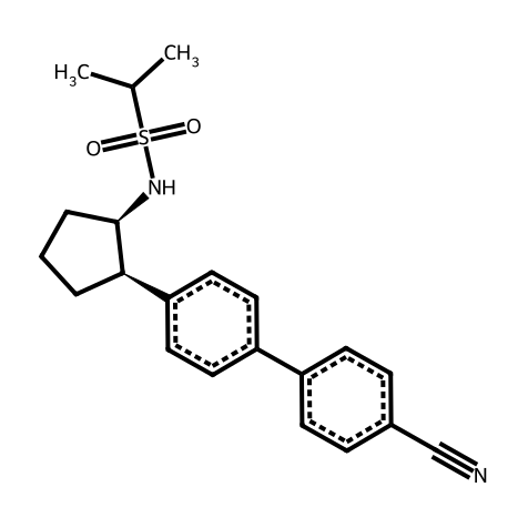 CC(C)S(=O)(=O)N[C@@H]1CCC[C@@H]1c1ccc(-c2ccc(C#N)cc2)cc1